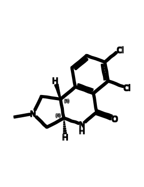 CN1C[C@@H]2NC(=O)c3c(ccc(Cl)c3Cl)[C@H]2C1